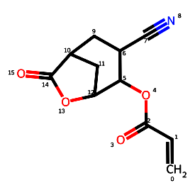 C=CC(=O)OC1C(C#N)CC2CC1OC2=O